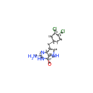 Nc1nc2c(Cc3ccc(Cl)c(Cl)c3)c[nH]c2c(=O)[nH]1